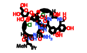 CN[C@H](CC(C)C)C(=O)N[C@H]1C(=O)N[C@@H](CC(N)=O)C(=O)N[C@H]2C(=N)N[C@H]3C(=O)N[C@H](C(=O)N[C@H](CO)C4CC(O)=CC(O)=C4c4cc3ccc4O)[C@H](O)c3ccc(c(Cl)c3)Oc3cc2cc(c3O[C@H]2OC(CO)C(O)[C@H](O)C2O[C@H]2CC(C)(N)[C@H](O)C(C)O2)Oc2ccc(cc2Cl)[C@H]1O